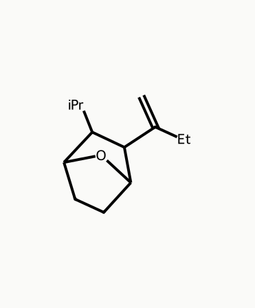 C=C(CC)C1C2CCC(O2)C1C(C)C